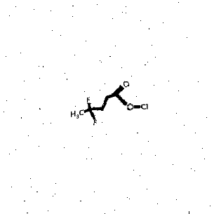 CC(F)(F)CCC(=O)OCl